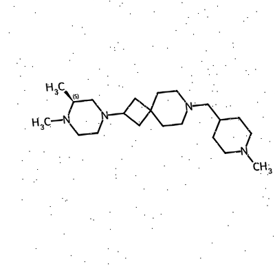 C[C@H]1CN(C2CC3(CCN(CC4CCN(C)CC4)CC3)C2)CCN1C